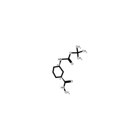 CNC(=O)[C@H]1CCC[C@@H](NC(=O)OC(C)(C)C)C1